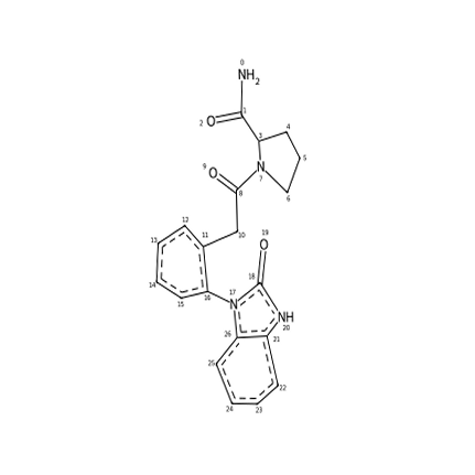 NC(=O)C1CCCN1C(=O)Cc1ccccc1-n1c(=O)[nH]c2ccccc21